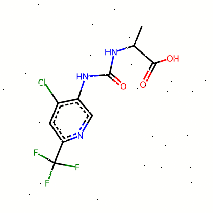 CC(NC(=O)Nc1cnc(C(F)(F)F)cc1Cl)C(=O)O